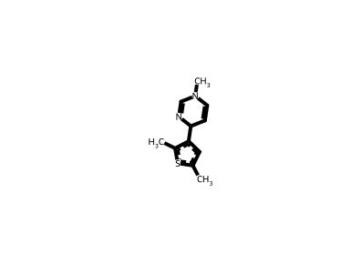 Cc1cc(C2C=CN(C)C=N2)c(C)s1